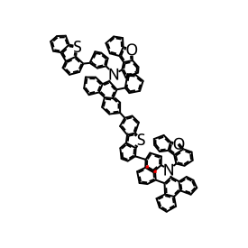 c1ccc(-c2c(N(c3ccc(-c4cccc5c4sc4ccc(-c6ccc7c(c6)c(-c6ccccc6)c(N(c6cccc(-c8cccc9c8sc8ccccc89)c6)c6cccc8oc9ccccc9c68)c6ccccc67)cc45)cc3)c3cccc4oc5ccccc5c34)c3ccccc3c3ccccc23)cc1